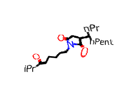 CCCCCC(CCC)C1CC(=O)N(CCCCCC(=O)C(C)C)C1=O